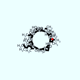 CC[C@H](C)C[C@H](C)C[C@H](C)C[C@@H]1NC(=O)C(C(C)C)N(C)C(=O)[C@@H]([C@H](C)CC)OC(=O)[C@H](C(C)(C)O)N(C)C(=O)[C@H](CC(C)C)NC(=O)C(C(C)C)N(C)C(=O)[C@H]([C@H](C)CC)NC(=O)[C@@H]2CCCN2C(=O)CN(C)C1=O